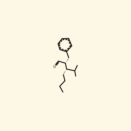 CCCC[C@@H](C(C)C)[C@H](C=O)Cc1ccccc1